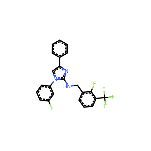 Fc1cccc(-n2cc(-c3ccccc3)nc2NCc2cccc(C(F)(F)F)c2F)c1